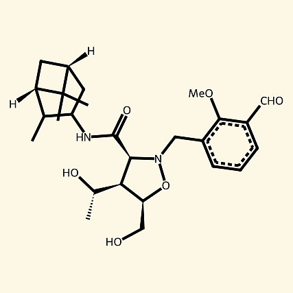 COc1c(C=O)cccc1CN1O[C@@H](CO)[C@@H]([C@H](C)O)[C@H]1C(=O)NC1C[C@H]2C[C@@H](C1C)C2(C)C